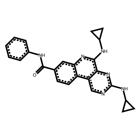 O=C(Nc1ccccc1)c1ccc2c(c1)nc(NC1CC1)c1nc(NC3CC3)ncc12